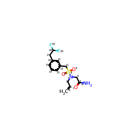 C=CCN(CC(N)=O)S(=O)(=O)Cc1cccc(CC(F)F)c1